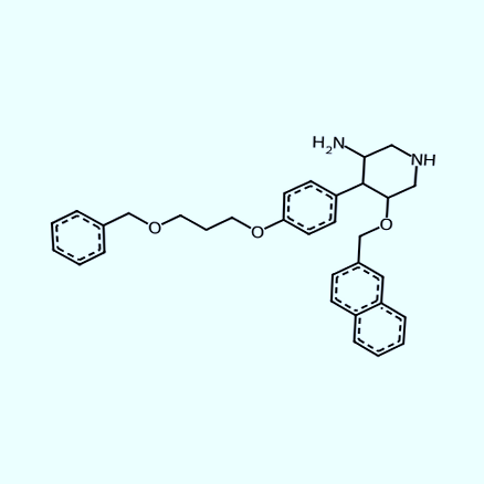 NC1CNCC(OCc2ccc3ccccc3c2)C1c1ccc(OCCCOCc2ccccc2)cc1